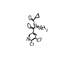 NN(C(=O)c1cnc(Cl)c(Cl)c1)C(=O)C1CC1